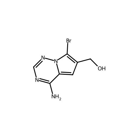 Nc1ncnn2c(Br)c(CO)cc12